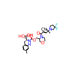 Cc1ccc(C[C@H](NC(=O)OCC2COCCN2C(=O)C(C#N)=CC(C)(C)N2CCC(F)(F)C2)B(O)O)cc1